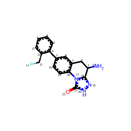 NC1Cc2cc(-c3ccccc3CF)ccc2-n2c1n[nH]c2=O